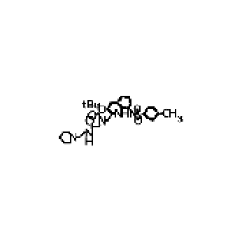 Cc1ccc(S(=O)(=O)Nc2cccc3ccc(CN(CC(=O)NCCN4CCCCC4)C(=O)OC(C)(C)C)nc23)cc1